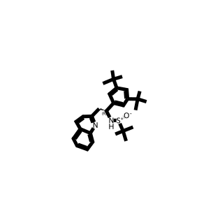 CC(C)(C)c1cc([C@@H](Cc2ccc3ccccc3n2)N[S+]([O-])C(C)(C)C)cc(C(C)(C)C)c1